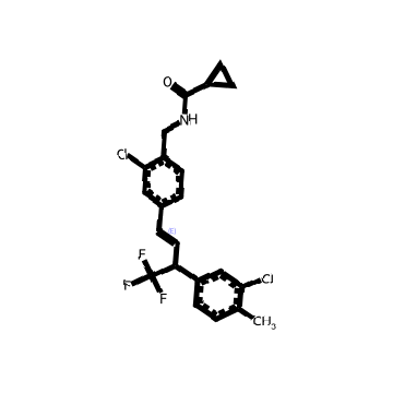 Cc1ccc(C(/C=C/c2ccc(CNC(=O)C3CC3)c(Cl)c2)C(F)(F)F)cc1Cl